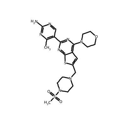 Cc1nc(N)ncc1-c1nc(N2CCOCC2)c2cc(CN3CCN(S(C)(=O)=O)CC3)sc2n1